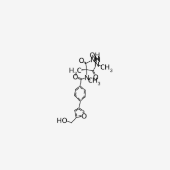 CNC(=O)[C@@](C)(C(=O)NO)N(C)C(=O)c1ccc(-c2coc(CO)c2)cc1